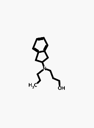 CCCN(CCCO)C1Cc2ccccc2C1